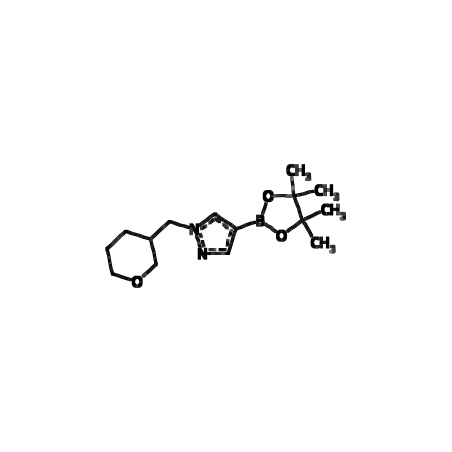 CC1(C)OB(c2cnn(CC3CCCOC3)c2)OC1(C)C